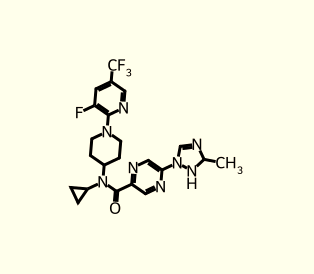 CC1N=CN(c2cnc(C(=O)N(C3CC3)C3CCN(c4ncc(C(F)(F)F)cc4F)CC3)cn2)N1